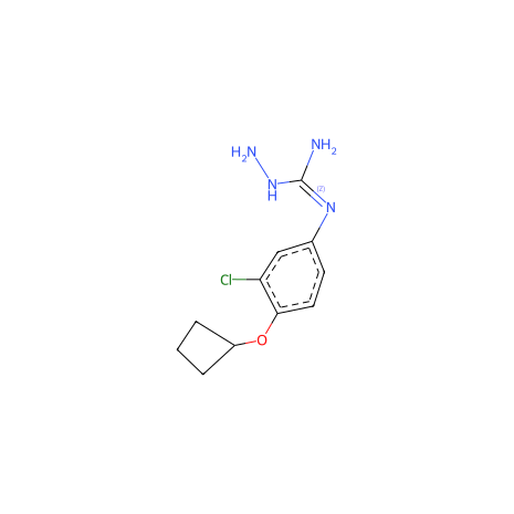 NN/C(N)=N\c1ccc(OC2CCC2)c(Cl)c1